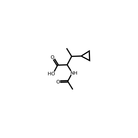 CC(=O)NC(C(=O)O)C(C)C1CC1